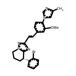 COc1cc(C=Cc2nc3n(n2)CCC[C@H]3c2ccccc2Br)ccc1-n1cnc(C)c1